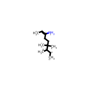 C/C=C(/N)CCC(C)(C)C(C)CC